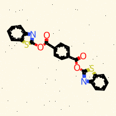 O=C(Oc1nc2ccccc2s1)c1ccc(C(=O)Oc2nc3ccccc3s2)cc1